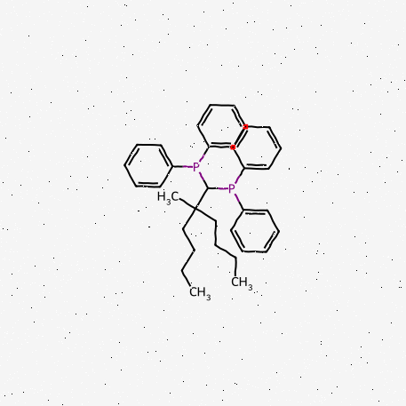 CCCCC(C)(CCCC)C(P(c1ccccc1)c1ccccc1)P(c1ccccc1)c1ccccc1